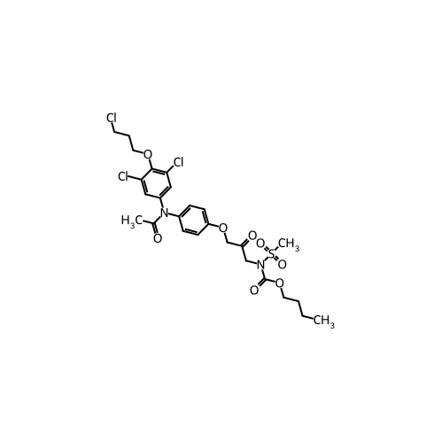 CCCCOC(=O)N(CC(=O)COc1ccc(N(C(C)=O)c2cc(Cl)c(OCCCCl)c(Cl)c2)cc1)S(C)(=O)=O